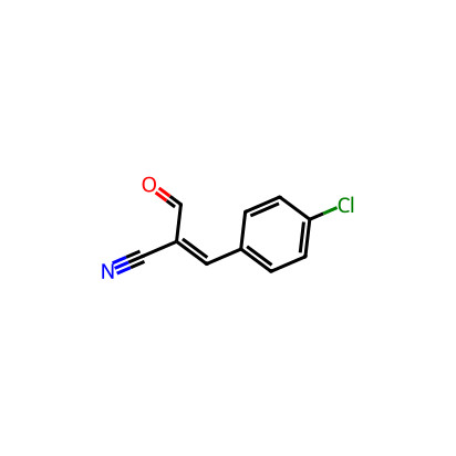 N#CC(C=O)=Cc1ccc(Cl)cc1